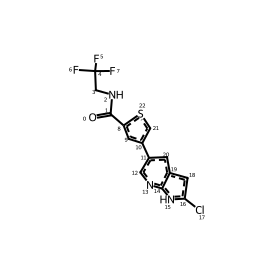 O=C(NCC(F)(F)F)c1cc(-c2cnc3[nH]c(Cl)cc3c2)cs1